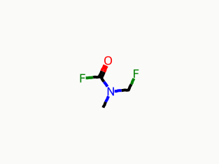 CN(CF)C(=O)F